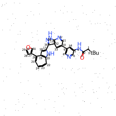 CC(C)(C)CC(=O)Nc1cncc(-c2cnc3[nH]nc(-c4cc5c([nH]4)C=C=CC=C5c4ccoc4)c3c2)c1